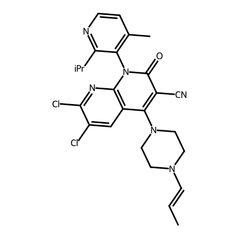 CC=CN1CCN(c2c(C#N)c(=O)n(-c3c(C)ccnc3C(C)C)c3nc(Cl)c(Cl)cc23)CC1